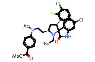 COC(=O)c1ccc(N(CC[C@H]2C[C@H](c3cccc(Cl)c3F)[C@]3(C(=O)Nc4cc(Cl)ccc43)N2CC(C)(C)C)C(C)=O)cc1